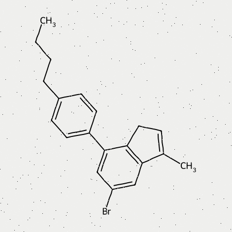 CCCCc1ccc(-c2cc(Br)cc3c2CC=C3C)cc1